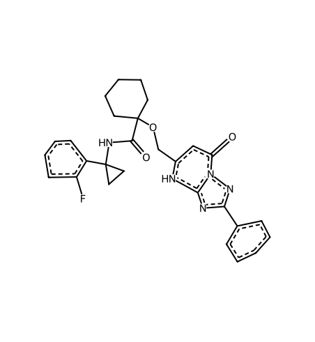 O=C(NC1(c2ccccc2F)CC1)C1(OCc2cc(=O)n3nc(-c4ccccc4)nc3[nH]2)CCCCC1